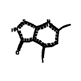 Cc1cc(I)c2c(=O)[nH]sc2n1